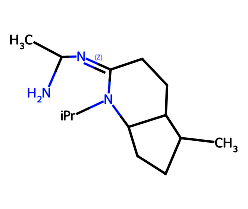 CC(N)/N=C1/CCC2C(C)CCC2N1C(C)C